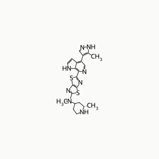 Cc1[nH]ncc1-c1cnc(-c2nc3sc(N(C)C4CCN[C@@H](C)C4)nc3s2)c2[nH]ccc12